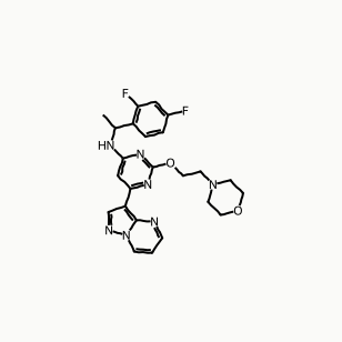 CC(Nc1cc(-c2cnn3cccnc23)nc(OCCN2CCOCC2)n1)c1ccc(F)cc1F